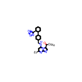 CCc1cc(NCc2ccc(-c3ccccc3-c3nnn[nH]3)cc2)n2c(C(=O)OC)cnc2n1